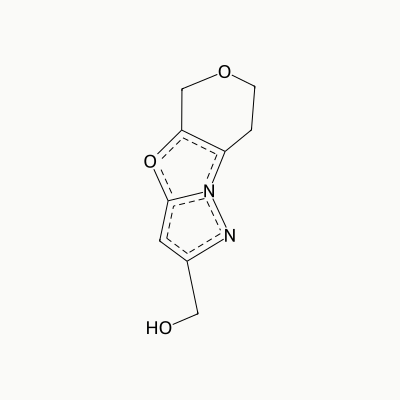 OCc1cc2oc3c(n2n1)CCOC3